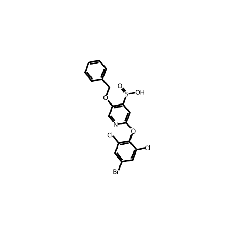 O=S(O)c1cc(Oc2c(Cl)cc(Br)cc2Cl)ncc1OCc1ccccc1